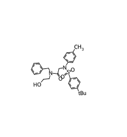 Cc1ccc(N(CC(=O)N(CCO)Cc2ccccc2)S(=O)(=O)c2ccc(C(C)(C)C)cc2)cc1